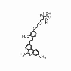 CC1=CC(OCCOCCC(F)(F)P(=O)(O)O)CC=C1CCc1cnc2c(N)nc3cc(C)ccc3c2c1